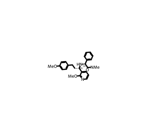 CNC(=O)[C@@H](N[C@@H](CCc1ccc(OC)cc1)c1cccnc1OC)c1ccccc1